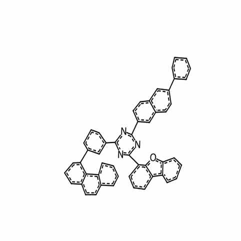 c1ccc(-c2ccc3cc(-c4nc(-c5cccc(-c6cccc7ccc8ccccc8c67)c5)nc(-c5cccc6c5oc5ccccc56)n4)ccc3c2)cc1